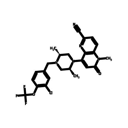 C[C@@H]1CN(c2cc(=O)n(C)c3ccc(C#N)nc23)[C@@H](C)CN1Cc1ccc(OC(F)(F)F)c(Cl)c1